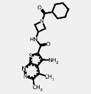 Cc1nnc2sc(C(=O)NC3CN(C(=O)C4CCCCC4)C3)c(N)c2c1C